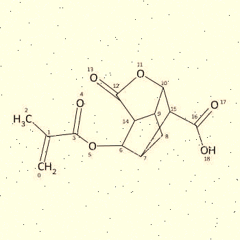 C=C(C)C(=O)OC1C2CC3C(OC(=O)C31)C2C(=O)O